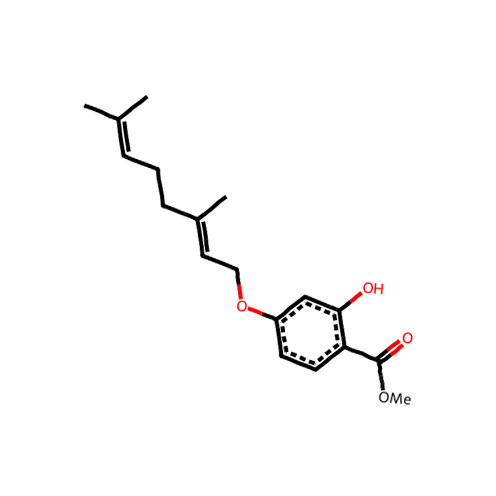 COC(=O)c1ccc(OC/C=C(\C)CCC=C(C)C)cc1O